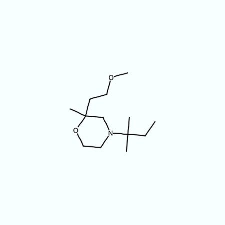 CCC(C)(C)N1CCOC(C)(CCOC)C1